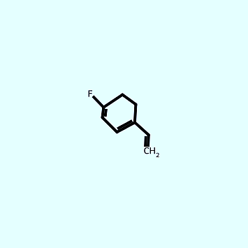 C=CC1=CC=C(F)CC1